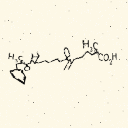 C[C@H](CCCCNC(=O)CCCCCNC(=O)[C@H](C)Cc1ccccc1)C(=O)O